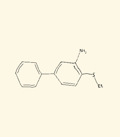 CCSc1ccc(-c2ccccc2)cc1N